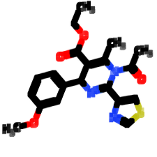 CCOC(=O)C1=C(C)N(C(C)=O)C(c2cscn2)=NC1c1cccc(OC)c1